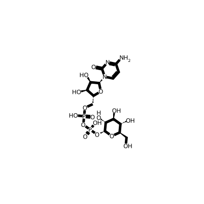 Nc1ccn([C@@H]2O[C@H](COP(=O)(O)OP(=O)(O)O[C@H]3O[C@H](CO)[C@@H](O)[C@H](O)[C@H]3O)[C@@H](O)[C@H]2O)c(=O)n1